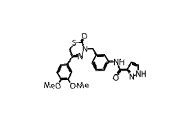 COc1ccc(C2=NN(Cc3cccc(NC(=O)c4cc[nH]n4)c3)C(=O)SC2)cc1OC